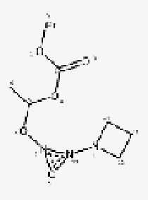 CC(C)OC(=O)OC(C)On1on1N1CCC1